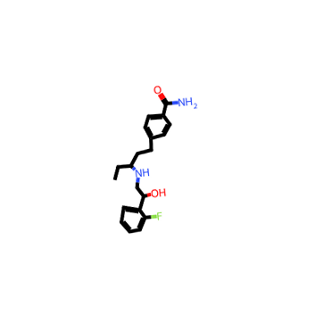 CCC(CCc1ccc(C(N)=O)cc1)NCC(O)c1ccccc1F